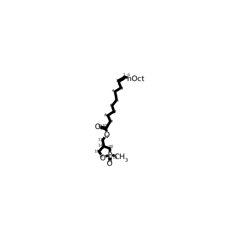 CCCCCCCC/C=C\CCCCCCCC(=O)OCC1COP(C)(=O)C1